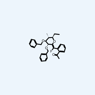 CC[C@H]1OC(=C(F)c2ccccc2C(C)=O)[C@H](OCc2ccccc2)[C@@H](OCc2ccccc2)[C@@H]1C